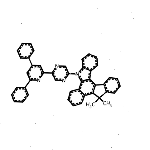 CC1(C)c2ccccc2-c2c1c1ccccc1c1c2c2ccccc2n1-c1cnc(-c2cc(-c3ccccc3)cc(-c3ccccc3)n2)cn1